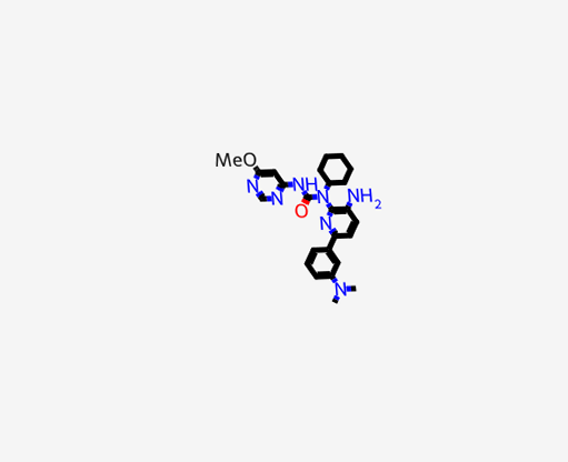 COc1cc(NC(=O)N(c2nc(-c3cccc(N(C)C)c3)ccc2N)C2CCCCC2)ncn1